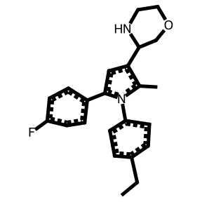 CCc1ccc(-n2c(-c3ccc(F)cc3)cc(C3COCCN3)c2C)cc1